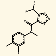 Cc1ccc(N(C)C(=O)c2snnc2C(F)F)cc1F